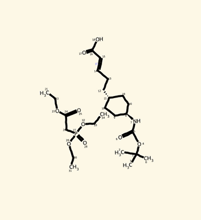 CC(C)(C)OC(=O)N[C@H]1CC[C@H](CC/C=C/C(=O)O)CC1.CCOC(=O)CP(=O)(OCC)OCC